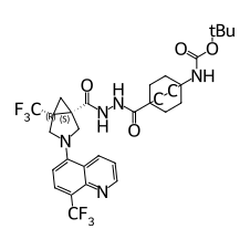 CC(C)(C)OC(=O)NC12CCC(C(=O)NNC(=O)[C@]34CN(c5ccc(C(F)(F)F)c6ncccc56)C[C@@]3(C(F)(F)F)C4)(CC1)CC2